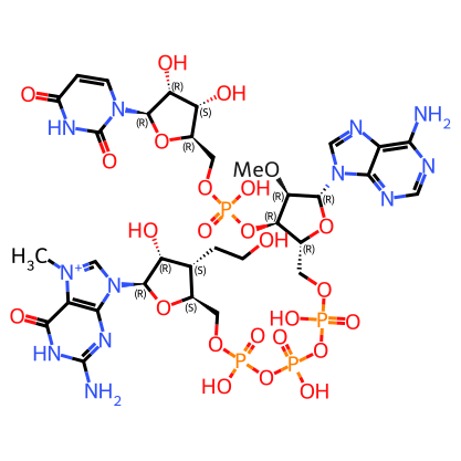 CO[C@@H]1[C@H](OP(=O)(O)OC[C@H]2O[C@@H](n3ccc(=O)[nH]c3=O)[C@H](O)[C@@H]2O)[C@@H](COP(=O)(O)OP(=O)(O)OP(=O)(O)OC[C@H]2O[C@@H](n3c[n+](C)c4c(=O)[nH]c(N)nc43)[C@H](O)[C@@H]2CCO)O[C@H]1n1cnc2c(N)ncnc21